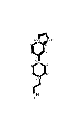 OCCN1CCN(c2ccn3ccnc3c2)CC1